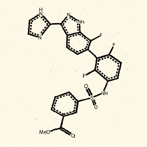 COC(=O)c1cccc(S(=O)(=O)Nc2ccc(F)c(-c3ccc4c(-c5ncc[nH]5)n[nH]c4c3F)c2F)c1